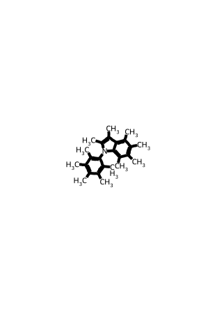 Cc1c(C)c(C)c(-n2c(C)c(C)c3c(C)c(C)c(C)c(C)c32)c(C)c1C